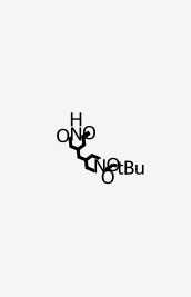 CC(C)(C)OC(=O)N1CCC(CC2CC(=O)NC(=O)C2)CC1